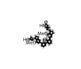 COc1cc(-c2cccc(-c3cccc(-c4cc5c(c(OC)n4)C(N4CC6(CNC(=O)C6)C4)CC5)c3Cl)c2Cl)cc2c1C(N1CC(O)C1)CC2